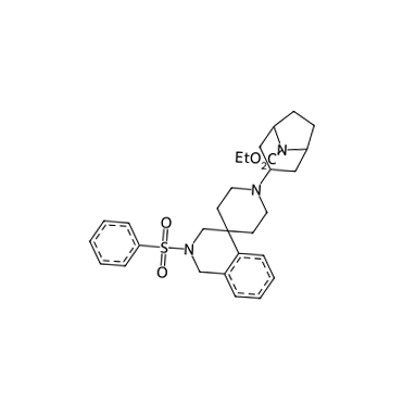 CCOC(=O)N1C2CCC1CC(N1CCC3(CC1)CN(S(=O)(=O)c1ccccc1)Cc1ccccc13)C2